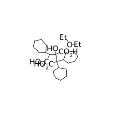 CCOCC.O=C(O)C(C1CCCCC1)C(O)(C(=O)O)C(C(=O)O)(C1CCCCC1)C1CCCCC1